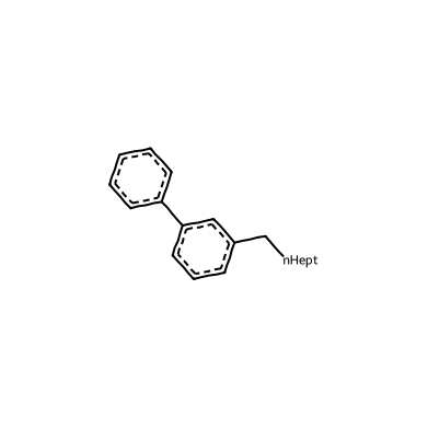 CCCCCCCCc1cccc(-c2ccccc2)c1